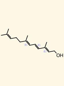 CC(C)=CCC/C(C)=C/C=C/C(C)=C/CO